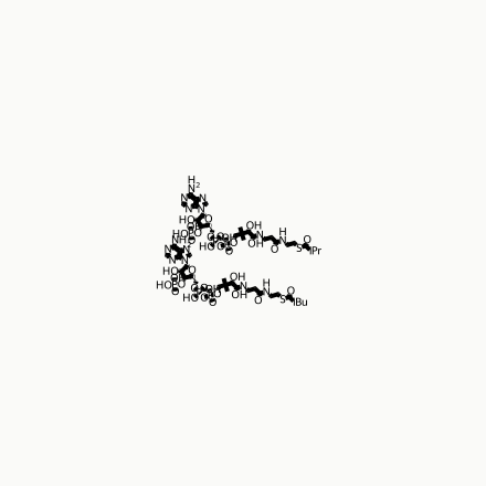 CC(C)C(=O)SCCNC(=O)CCNC(=O)C(O)C(C)(C)COP(=O)(O)OP(=O)(O)OC[C@H]1O[C@@H](n2cnc3c(N)ncnc32)[C@H](O)[C@@H]1OP(=O)(O)O.CCC(C)C(=O)SCCNC(=O)CCNC(=O)C(O)C(C)(C)COP(=O)(O)OP(=O)(O)OC[C@H]1O[C@@H](n2cnc3c(N)ncnc32)[C@H](O)[C@@H]1OP(=O)(O)O